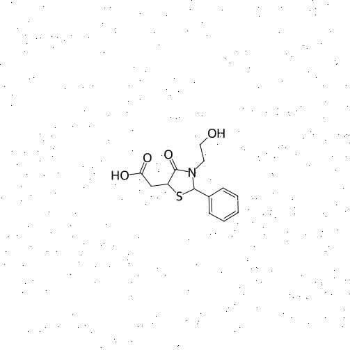 O=C(O)CC1SC(c2ccccc2)N(CCO)C1=O